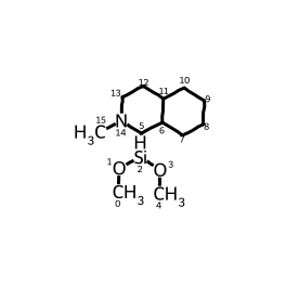 CO[SiH](OC)C1C2CCCCC2CCN1C